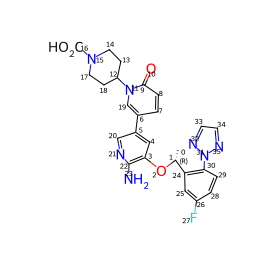 C[C@@H](Oc1cc(-c2ccc(=O)n(C3CCN(C(=O)O)CC3)c2)cnc1N)c1cc(F)ccc1-n1nccn1